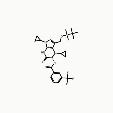 CC(C)(C)[Si](C)(C)OCc1nn(C2CC2)c2c1[C@@H](C1CC1)[C@H](NC(=O)c1cccc(C(F)(F)F)c1)C(=O)N2